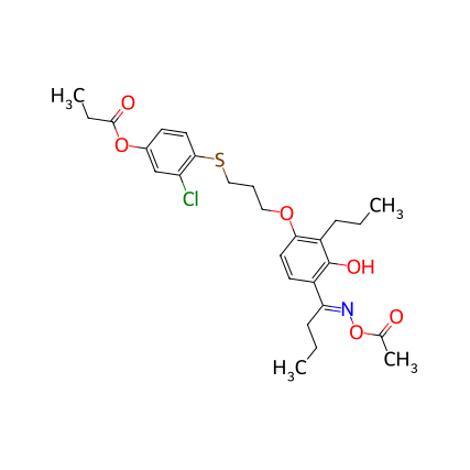 CCCC(=NOC(C)=O)c1ccc(OCCCSc2ccc(OC(=O)CC)cc2Cl)c(CCC)c1O